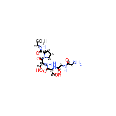 NCC(=O)NCC(=O)N[C@@H](CO)C(=O)N[C@@H](CO)C(=O)N1CCC[C@H]1C(=O)NCC(=O)O